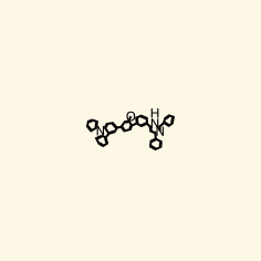 C1=C(c2ccc3oc4cc(-c5ccc6c(c5)c5ccccc5n6-c5ccccc5)ccc4c3c2)NC(c2ccccc2)N=C1c1ccccc1